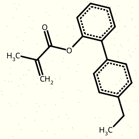 C=C(C)C(=O)Oc1ccccc1-c1ccc(CC)cc1